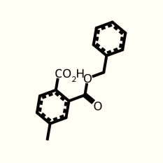 Cc1ccc(C(=O)O)c(C(=O)OCc2ccccc2)c1